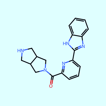 O=C(c1cccc(-c2nc3ccccc3[nH]2)n1)N1CC2CNCC2C1